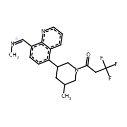 C/N=C\c1ccc(C2CC(C)CN(C(=O)CC(F)(F)F)C2)c2cccnc12